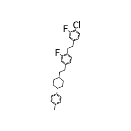 Cc1ccc([C@H]2CC[C@H](CCc3ccc(CCc4ccc(Cl)c(F)c4)c(F)c3)CC2)cc1